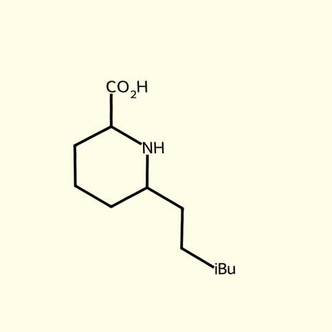 CCC(C)CCC1CCCC(C(=O)O)N1